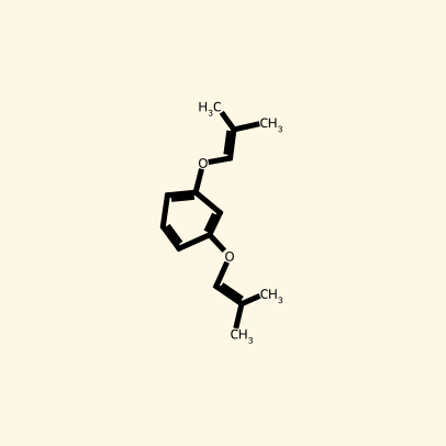 CC(C)=COc1cccc(OC=C(C)C)c1